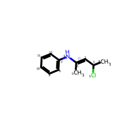 C/C(=C\C(C)Cl)Nc1ccccc1